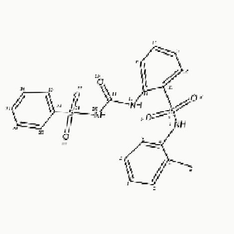 Cc1ccccc1NS(=O)(=O)c1ccccc1NC(=O)NS(=O)(=O)c1ccccc1